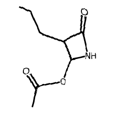 CCCC1C(=O)NC1OC(C)=O